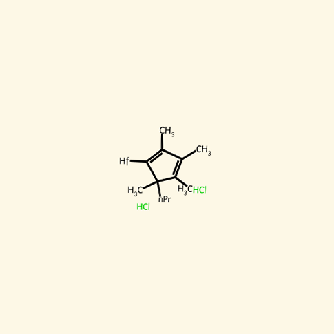 CCCC1(C)C(C)=C(C)C(C)=[C]1[Hf].Cl.Cl